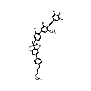 CCCCCc1ccc(-c2cc(F)c(C(F)(F)Oc3ccc(-c4cc(C)c(C#Cc5cc(F)c(F)c(F)c5)c(F)c4)c(F)c3)c(F)c2)cc1